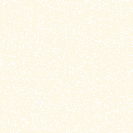 CCCCCCCCCCCCCCCCC(=O)OC[C@H](COP(=O)([O-])OCC[N+](C)(C)C)OC(=O)CCCCCCCC